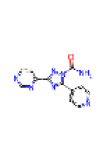 NC(=O)n1nc(-c2ccncn2)nc1-c1ccncc1